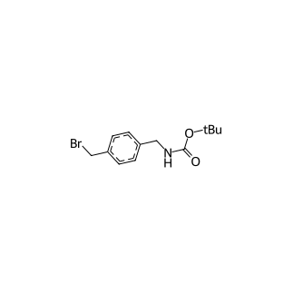 CC(C)(C)OC(=O)NCc1ccc(CBr)cc1